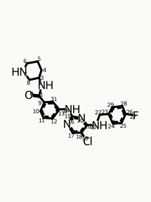 O=C(NC1CCCNC1)c1cccc(Nc2ncc(Cl)c(NCc3ccc(F)cc3)n2)c1